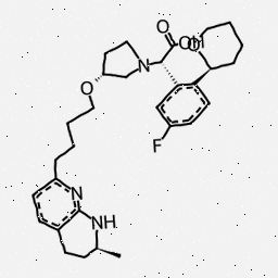 C[C@H]1CCc2ccc(CCCCO[C@@H]3CCN([C@H](C(=O)O)c4cc(F)ccc4[C@@H]4CCCCO4)C3)nc2N1